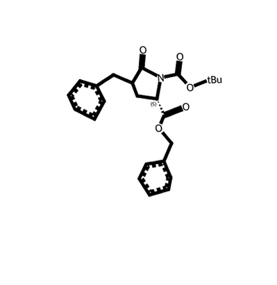 CC(C)(C)OC(=O)N1C(=O)C(Cc2ccccc2)C[C@H]1C(=O)OCc1ccccc1